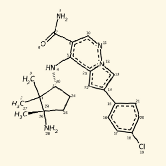 CC1(C)[C@H](Nc2c(C(N)=O)cnn3cc(-c4ccc(Cl)cc4)cc23)CC[C@]1(C)N